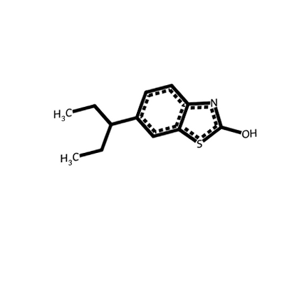 CCC(CC)c1ccc2nc(O)sc2c1